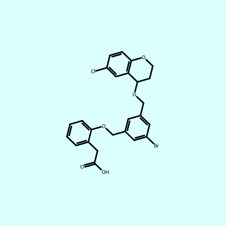 O=C(O)Cc1ccccc1OCc1cc(Br)cc(COC2CCOc3ccc(Cl)cc32)c1